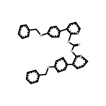 O=C(Oc1ncccc1-c1ccc(OCc2ccccc2)cc1)Oc1ncccc1-c1ccc(OCc2ccccc2)cc1